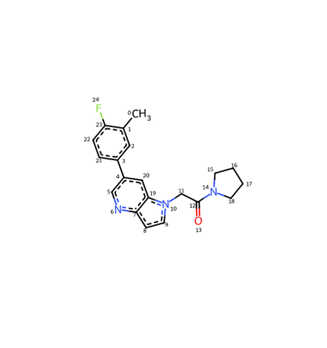 Cc1cc(-c2cnc3ccn(CC(=O)N4CCCC4)c3c2)ccc1F